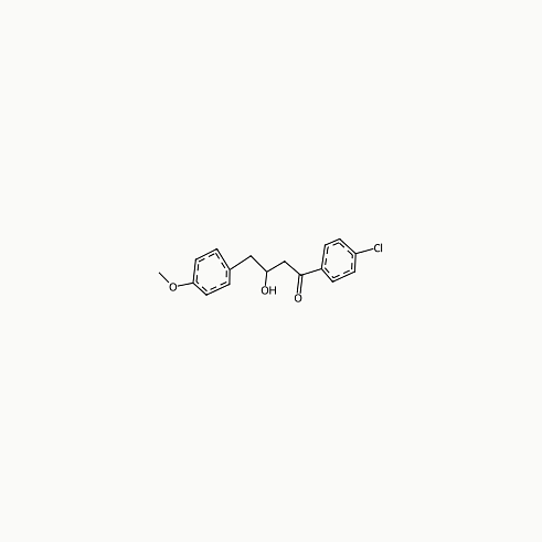 COc1ccc(CC(O)CC(=O)c2ccc(Cl)cc2)cc1